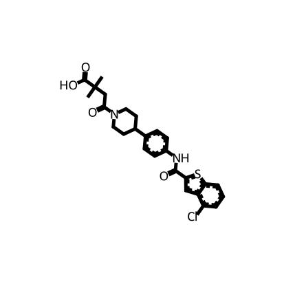 CC(C)(CC(=O)N1CCC(c2ccc(NC(=O)c3cc4c(Cl)cccc4s3)cc2)CC1)C(=O)O